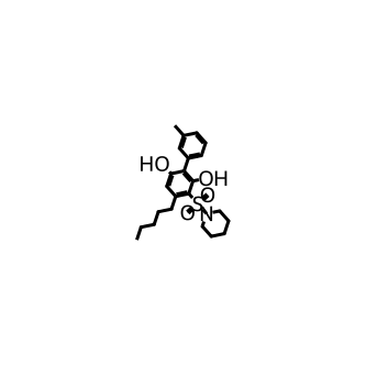 CCCCCc1cc(O)c(-c2cccc(C)c2)c(O)c1S(=O)(=O)N1CCCCC1